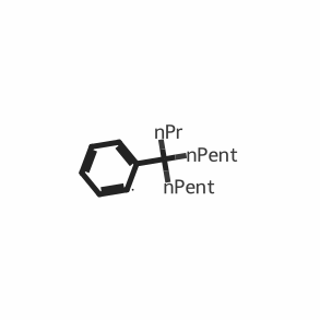 CCCCCC(CCC)(CCCCC)c1[c]cccc1